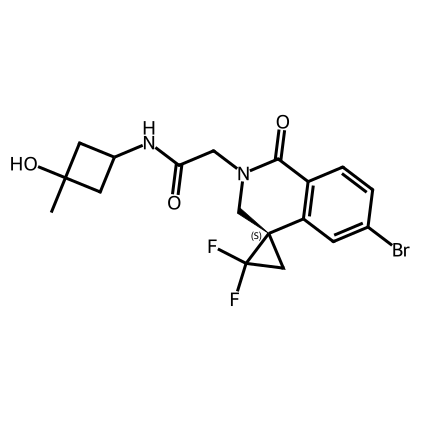 CC1(O)CC(NC(=O)CN2C[C@]3(CC3(F)F)c3cc(Br)ccc3C2=O)C1